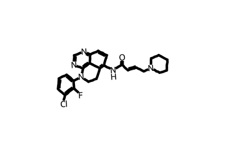 O=C(/C=C/CN1CCCCC1)Nc1ccc2ncnc3c2c1CCN3c1cccc(Cl)c1F